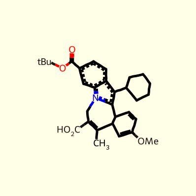 COC1=CC2C(C)=C(C(=O)O)Cn3c(c(C4CCCCC4)c4ccc(C(=O)OC(C)(C)C)cc43)C2C=C1